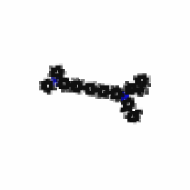 Cc1ccccc1-c1ccc(N(c2ccc(-c3ccc(-c4ccc(-c5ccc(-c6ccc7c(c6)c6ccccc6n7-c6ccccc6)cc5)cc4)cc3)cc2)c2ccc3c(c2)C(C)(C)c2ccccc2-3)cc1C